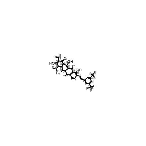 CC1c2ccc(/C=C/c3cc(C(F)(F)F)cc(C(F)(F)F)c3)c(O)c2C(=O)C2=C(O)C3(O)C(=O)C(C(N)=O)=C(O)C(N(C)C)C3C(O)C21